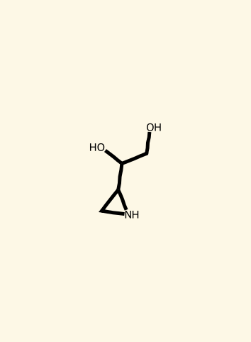 OCC(O)C1CN1